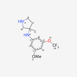 COc1cc(NC2(C)CCNC2)cc(OC(F)(F)F)c1